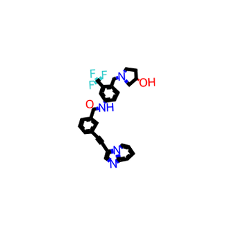 O=C(Nc1ccc(CN2CC[C@@H](O)C2)c(C(F)(F)F)c1)c1cccc(C#Cc2cnc3ccccn23)c1